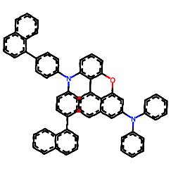 c1ccc(N(c2ccccc2)c2cc3c4c(cccc4c2)-c2c(cccc2N(c2ccc(-c4cccc5ccccc45)cc2)c2ccc(-c4cccc5ccccc45)cc2)O3)cc1